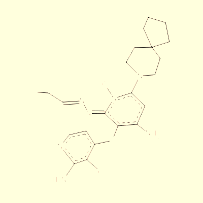 Cn1c(N2CCC3(CCCC3)CC2)cc(N)c(Sc2ccnc(N)c2Cl)/c1=N/N=C/CF